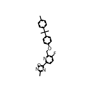 Cc1ccc(C(C)(C)c2ccc(OCc3nc(-c4nc(C)no4)ccc3F)cc2)cc1